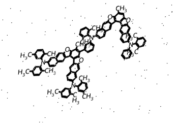 Cc1ccc(C)c(N(c2ccc3cc4c(cc3c2)oc2c(C)c(-c3cccc(N(c5ccc6cc7c(cc6c5)oc5c(C)cc6oc8cc9cc(N(c%10ccccc%10)c%10c(C)cccc%10C)ccc9cc8c6c57)c5c(C)cccc5C)c3)c3oc5cc6cc(N(c7cc(C)ccc7C)c7cc(C)ccc7C)ccc6cc5c3c24)c2cc(C)ccc2C)c1